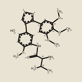 COc1ccc(-c2csnc2-c2cc(OC)c(OC)c(OC)c2)cc1NC(=O)C(N)C(C)C.Cl